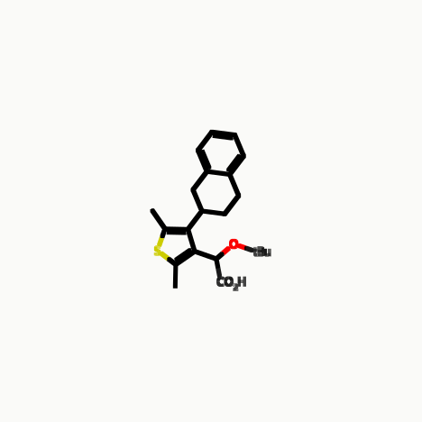 Cc1sc(C)c(C(OC(C)(C)C)C(=O)O)c1C1CCc2ccccc2C1